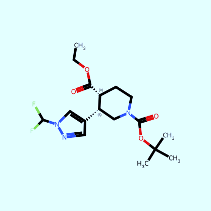 CCOC(=O)[C@@H]1CCN(C(=O)OC(C)(C)C)C[C@@H]1c1cnn(C(F)F)c1